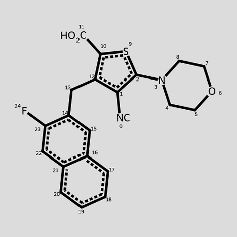 [C-]#[N+]c1c(N2CCOCC2)sc(C(=O)O)c1Cc1cc2ccccc2cc1F